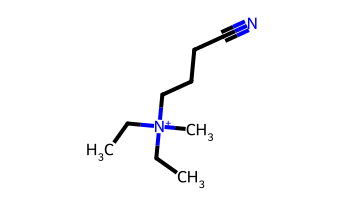 CC[N+](C)(CC)CCCC#N